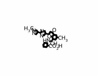 Cc1cc(C(C)Nc2ccccc2C(=O)O)c2oc(-c3cnc(-c4cnn(C)c4)nc3)cc(=O)c2c1